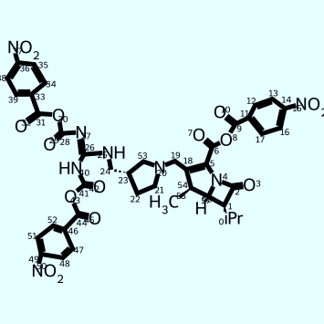 CC(C)[C@H]1C(=O)N2C(C(=O)OC(=O)c3ccc([N+](=O)[O-])cc3)=C(CN3CC[C@H](CN/C(=N/C(=O)OC(=O)c4ccc([N+](=O)[O-])cc4)NC(=O)OC(=O)c4ccc([N+](=O)[O-])cc4)C3)[C@H](C)[C@H]12